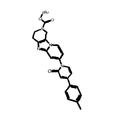 Cc1ccc(-c2ccn(-c3ccn4c5c(nc4c3)CCN(C(=O)OC(C)(C)C)C5)c(=O)c2)cc1